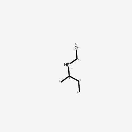 CCC(C)BC[O]